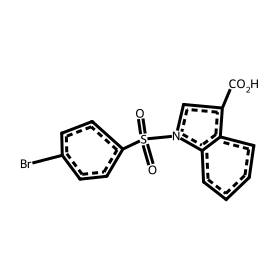 O=C(O)c1cn(S(=O)(=O)c2ccc(Br)cc2)c2ccccc12